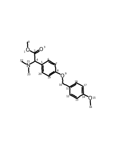 COC(=O)C(c1ccc(OCc2ccc(OC)cc2)cc1)N(C)C